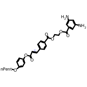 CCCCCOc1ccc(OC(=O)/C=C/c2ccc(C(=O)OCCOC(=O)c3cc(N)cc(N)c3)cc2)cc1